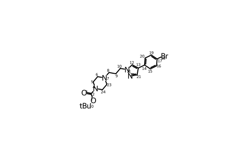 CC(C)(C)OC(=O)N1CCN(CCCn2cc(-c3ccc(Br)cc3)cn2)CC1